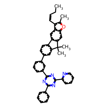 CC/C=C\c1c(C)oc2cc3c(cc12)-c1ccc(-c2cccc(-c4nc(-c5ccccc5)nc(-c5ccccn5)n4)c2)cc1C3(C)C